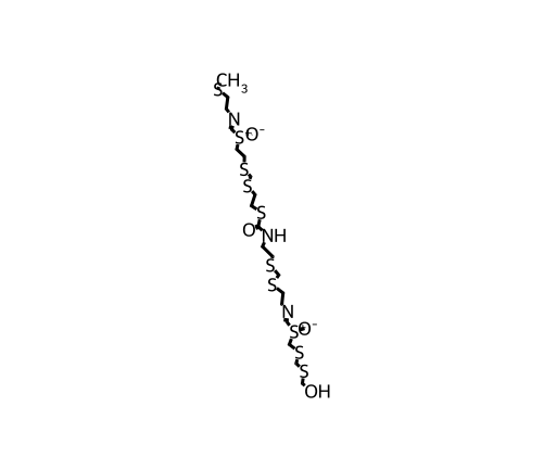 CSCC/N=C/[S+]([O-])CCSCSCCSC(=O)NCCSCSCC/N=C/[S+]([O-])CSCSCO